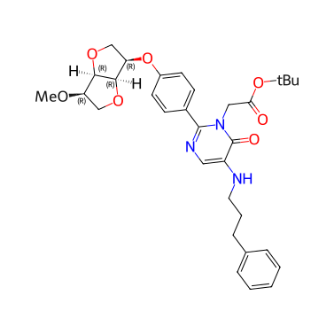 CO[C@@H]1CO[C@H]2[C@@H]1OC[C@H]2Oc1ccc(-c2ncc(NCCCc3ccccc3)c(=O)n2CC(=O)OC(C)(C)C)cc1